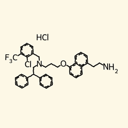 Cl.NCCc1cccc2c(OCCCN(Cc3cccc(C(F)(F)F)c3Cl)CC(c3ccccc3)c3ccccc3)cccc12